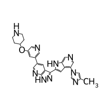 Cc1cn(-c2cncc3[nH]c(-c4n[nH]c5ncc(-c6cncc(OC7CCNCC7)c6)cc45)cc23)cn1